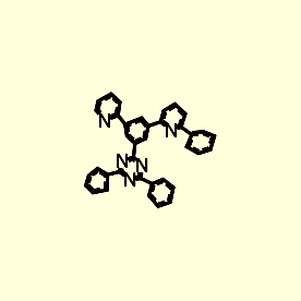 c1ccc(-c2cccc(-c3cc(-c4ccccn4)cc(-c4nc(-c5ccccc5)nc(-c5ccccc5)n4)c3)n2)cc1